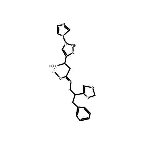 CCOC(CC(C(=O)O)C1=CN(n2ccnc2)NS1)=NCC(Cc1ccccc1)C1=COCO1